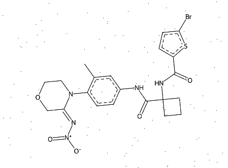 Cc1cc(NC(=O)C2(NC(=O)c3ccc(Br)s3)CCC2)ccc1N1CCOCC1=N[N+](=O)[O-]